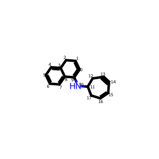 C1=CCc2ccccc2C=1NC1CC#CC=CC1